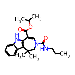 CCCNC(=O)N1C=C(C(=O)OC(C)C)c2[nH]c3ccccc3c2C(C)(C)C1